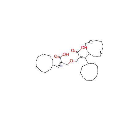 O=C(O)C(COC/C(=C/C1CCCCCCCCC1)C(=O)O)=C(C1CCCCCCCCC1)C1CCCCCCCCC1